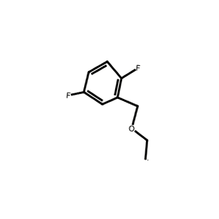 [CH2]COCc1cc(F)ccc1F